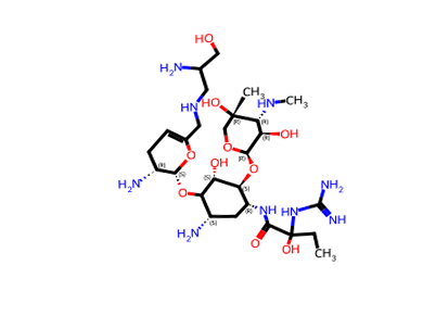 CCC(O)(NC(=N)N)C(=O)N[C@@H]1C[C@H](N)C(O[C@H]2OC(CNCC(N)CO)=CC[C@H]2N)[C@H](O)[C@H]1O[C@H]1OC[C@](C)(O)[C@H](NC)[C@H]1O